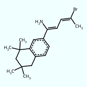 C/C(Br)=C\C=C(/N)c1ccc2c(c1)C(C)(C)CC(C)(C)C2